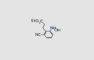 CCOC(=O)CCc1c(N)cccc1C#N.Cl